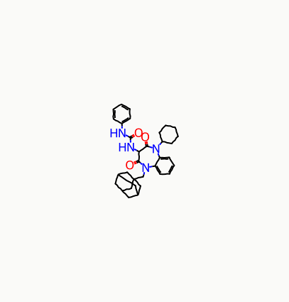 O=C(Nc1ccccc1)NC1C(=O)N(CC23CC4CC(CC(C4)C2)C3)c2ccccc2N(C2CCCCC2)C1=O